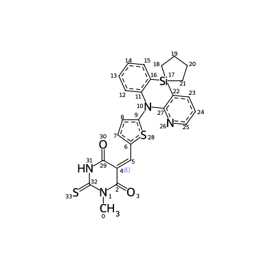 CN1C(=O)/C(=C/c2ccc(N3c4ccccc4[Si]4(CCCC4)c4cccnc43)s2)C(=O)NC1=S